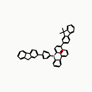 CC1(C)c2ccccc2-c2ccc(-c3ccc(N(c4ccc(-c5ccc6c(c5)Cc5ccccc5-6)cc4)c4ccccc4-c4ccccc4)cc3)cc21